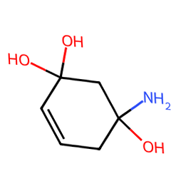 NC1(O)CC=CC(O)(O)C1